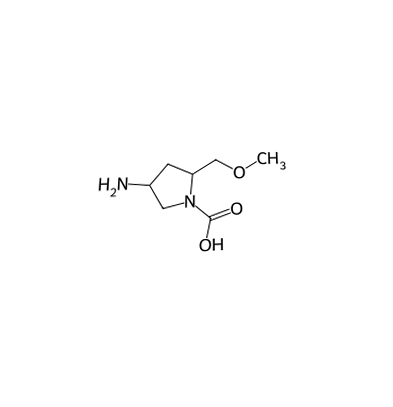 COCC1CC(N)CN1C(=O)O